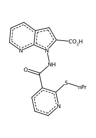 CCCSc1ncccc1C(=O)Nn1c(C(=O)O)cc2cccnc21